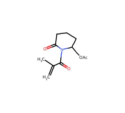 C=C(C)C(=O)N1C(=O)CCCC1OC(C)=O